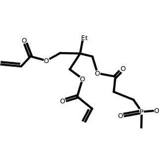 C=CC(=O)OCC(CC)(COC(=O)C=C)COC(=O)CCP(C)(=O)O